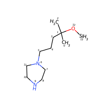 CC(C)(CCCN1CCNCC1)O[SiH3]